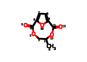 CC1COC(=O)c2ccc(o2)C(=O)O1